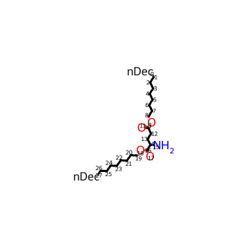 CCCCCCCCCCCCCCCCCCOC(=O)CCC(N)C(=O)OCCCCCCCCCCCCCCCCCC